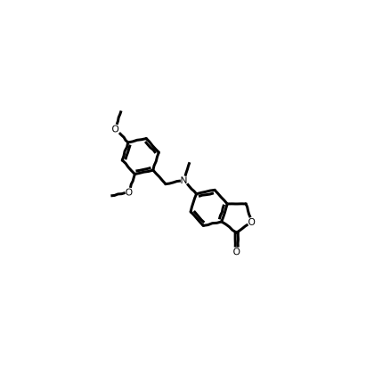 COc1ccc(CN(C)c2ccc3c(c2)COC3=O)c(OC)c1